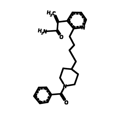 C=C(C(N)=O)c1cccnc1CCCCC1CCN(C(=O)c2ccccc2)CC1